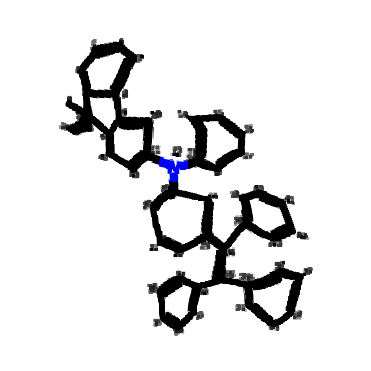 CC1(C)c2ccccc2-c2cc(N(c3ccccc3)c3cccc(C(=C(c4ccccc4)c4ccccc4)c4ccccc4)c3)ccc21